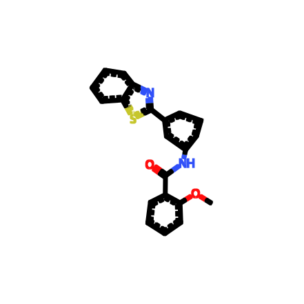 COc1ccccc1C(=O)Nc1cccc(-c2nc3ccccc3s2)c1